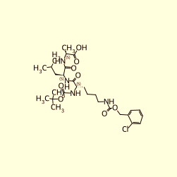 CC(C)C[C@H](NC(=O)[C@H](CCCCNC(=O)OCc1ccccc1Cl)NC(=O)OC(C)(C)C)C(=O)N[C@@H](C)C(=O)O